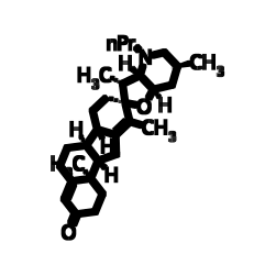 CCCN1C[C@@H](C)C[C@H]2O[C@]3(CC[C@@H]4C(=C3C)C[C@H]3[C@H]4CCC4=CC(=O)CC[C@@]43C)[C@H](C)[C@@H]21